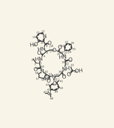 CC[C@H]1NC(=O)[C@@H](NC(=O)c2ncccc2O)[C@H](C)OC(=O)[C@H](c2ccccc2)NC(=O)[C@H](CC(=O)O)NC(=O)[C@H](Cc2ccc(N(C)C)cc2)N(C)C(=O)[C@@H]2CCCN2C1=O